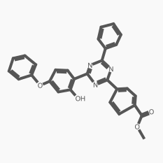 COC(=O)c1ccc(-c2nc(-c3ccccc3)nc(-c3ccc(Oc4ccccc4)cc3O)n2)cc1